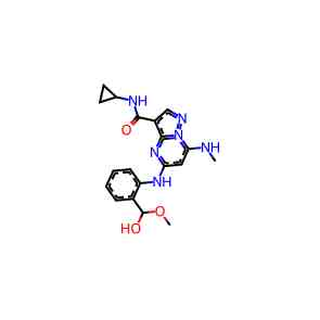 CNc1cc(Nc2ccccc2C(O)OC)nc2c(C(=O)NC3CC3)cnn12